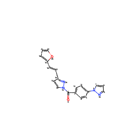 O=C(c1ccc(-n2cccn2)cc1)n1ccc(/C=C/c2ccco2)n1